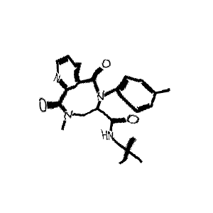 Cc1ccc(N2C(=O)c3cccnc3C(=O)N(C)CC2C(=O)NC(C)(C)C)cc1